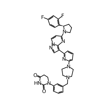 O=C1CCN(c2cccc(CN3CCN(c4cccc(-c5cnn6ccc(N7CCC[C@@H]7c7ccc(F)cc7F)nc56)n4)CC3)c2)C(=O)N1